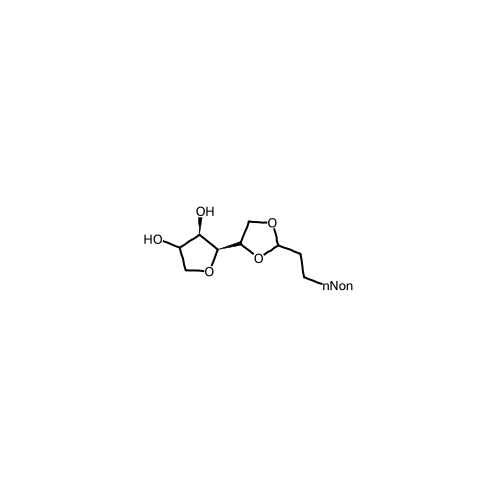 CCCCCCCCCCCC1OCC([C@H]2OCC(O)[C@H]2O)O1